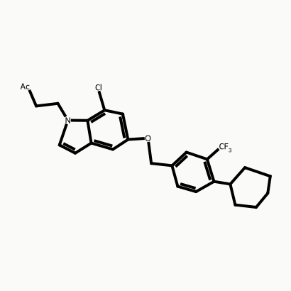 CC(=O)CCn1ccc2cc(OCc3ccc(C4CCCCC4)c(C(F)(F)F)c3)cc(Cl)c21